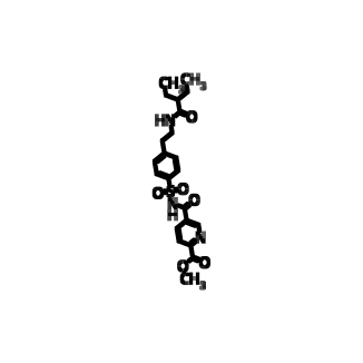 CCC(CC)C(=O)NCCc1ccc(S(=O)(=O)NC(=O)c2ccc(C(=O)OC)nc2)cc1